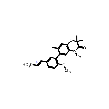 Cc1cc2c(cc1-c1cc(/C=C/C(=O)O)ccc1OC(F)(F)F)N(C(C)C)C(=O)C(C)(C)O2